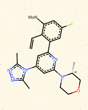 C=Cc1c(NC)cc(F)cc1-c1cc(-n2c(C)nnc2C)cc(N2CCOC[C@H]2C)n1